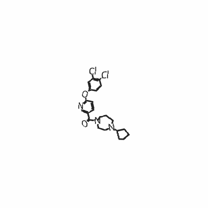 O=C(c1ccc(Oc2ccc(Cl)c(Cl)c2)nc1)N1CCCN(C2CCCC2)CC1